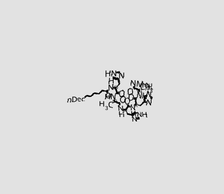 CCCCCCCCCCCCCCCC(=O)N[C@@H](Cc1c[nH]cn1)C(=O)N[C@@H](C)C(=O)N[C@H](Cc1c[nH]cn1)C(=O)N[C@H](Cc1c[nH]cn1)C(=O)N[C@@H](C)C(=O)NC